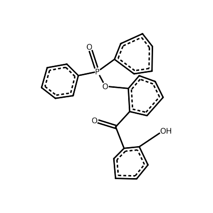 O=C(c1ccccc1O)c1ccccc1OP(=O)(c1ccccc1)c1ccccc1